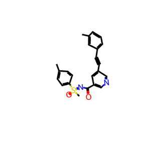 Cc1ccc(S(C)(=O)=NC(=O)c2cncc(C#Cc3cccc(C)c3)c2)cc1